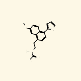 COc1ccc2c(-c3cccs3)ccc(CCNC(C)=O)c2c1